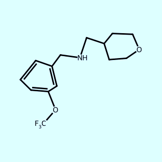 FC(F)(F)Oc1cccc(CNCC2CCOCC2)c1